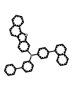 c1ccc(-c2cccc(N(c3ccc(-c4cccc5ccccc45)cc3)c3ccc4c(c3)oc3c5ccccc5ccc43)c2)cc1